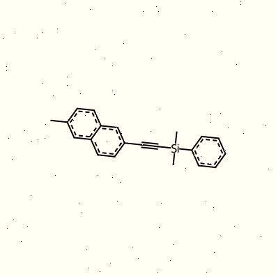 Cc1ccc2cc(C#C[Si](C)(C)c3ccccc3)ccc2c1